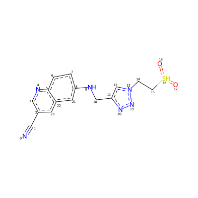 N#Cc1cnc2ccc(NCc3cn(CC[SH](=O)=O)nn3)cc2c1